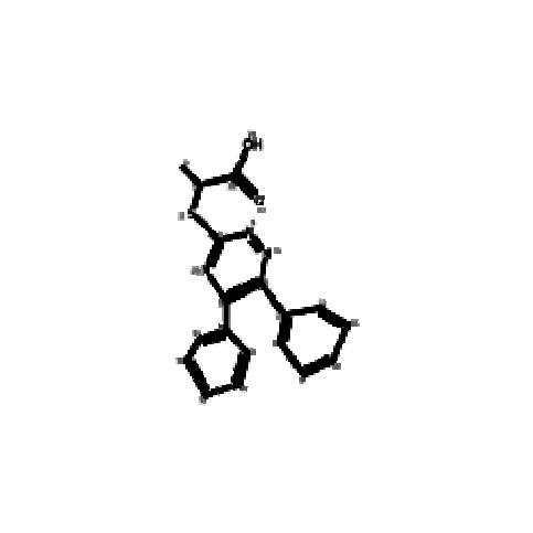 CC(Sc1nnc(-c2ccccc2)c(-c2ccccc2)n1)C(=O)O